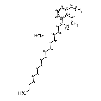 CCCCCCCCCCCCCCCCCC(N)c1cccc(CC)c1CC.Cl